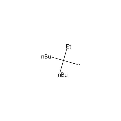 [CH2]C(CC)(CCCC)CCCC